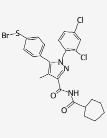 Cc1c(C(=O)NC(=O)C2CCCCC2)nn(-c2ccc(Cl)cc2Cl)c1-c1ccc(SBr)cc1